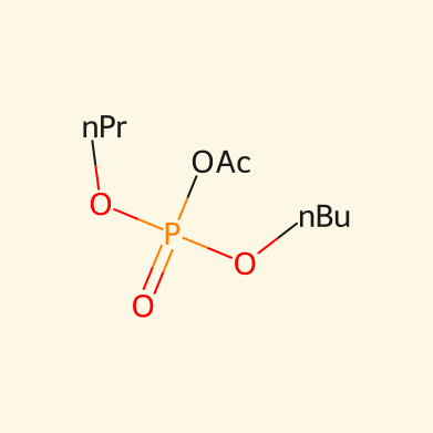 CCCCOP(=O)(OCCC)OC(C)=O